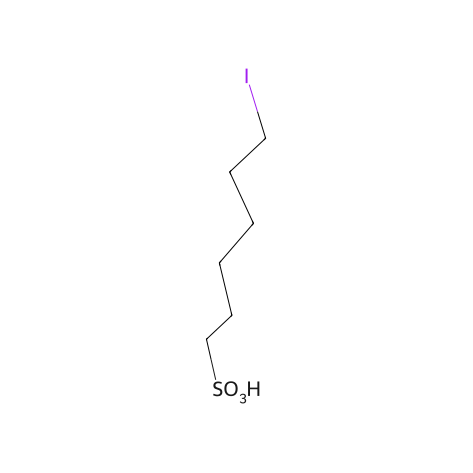 O=S(=O)(O)CCCCCCI